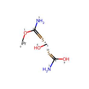 CC(C)OC(N)=S.CO.NC(O)=S